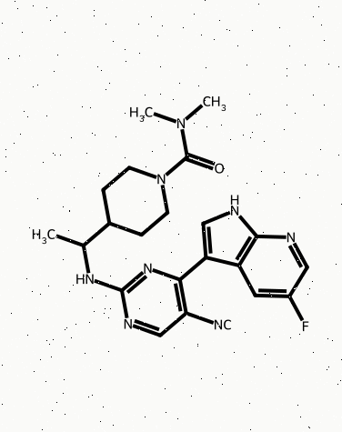 [C-]#[N+]c1cnc(NC(C)C2CCN(C(=O)N(C)C)CC2)nc1-c1c[nH]c2ncc(F)cc12